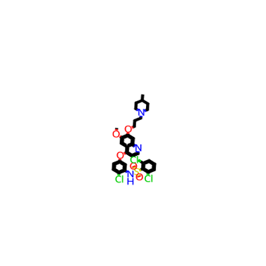 COc1cc2c(Oc3ccc(Cl)c(NS(=O)(=O)c4c(Cl)cccc4Cl)c3)ccnc2cc1OCCCN1CCC(C)CC1